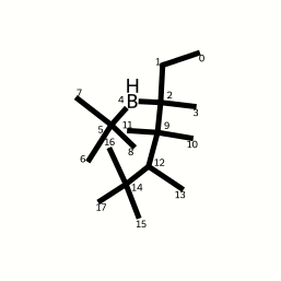 CCC(C)(BC(C)(C)C)C(C)(C)C(C)C(C)(C)C